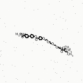 CCCC(C(=O)OCCOCCOCCOCCOc1ccc(C(=O)Oc2ccc(-c3ccc(C(=O)NC)cc3)cc2)cc1)C(C)(C)C